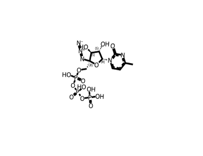 Cc1ccn([C@@H]2O[C@@](COP(=O)(O)OP(=O)(O)OP(=O)(O)O)(N=[N+]=[N-])[C@@H](O)[C@@H]2O)c(=O)n1